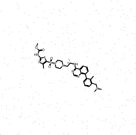 COC(=O)Nc1nc(C)c(S(=O)(=O)N2CCN(C[C@H](C)Nc3ncnc4c(-c5cccc(CN(C)C)c5C)cccc34)CC2)s1